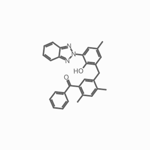 Cc1cc(Cc2cc(C(=O)c3ccccc3)c(C)cc2C)c(O)c(-n2nc3ccccc3n2)c1